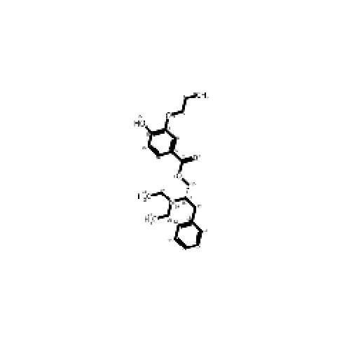 CCCOc1cc(C(=O)OC[C@H](Cc2ccccc2)N(CC)CC)ccc1O